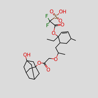 CCC1(OC(=O)C(F)(F)S(=O)(=O)O)C=CC(C)CC1CC(C)OCC(=O)OC12CC3CC(CC(O)(C3)C1)C2